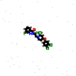 Cl.O=C(NCCN1CCC(Oc2ccc(Cl)c(Cl)c2)CC1)c1cccc(F)c1